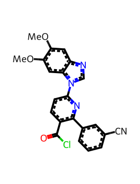 COc1cc2ncn(-c3ccc(C(=O)Cl)c(-c4cccc(C#N)c4)n3)c2cc1OC